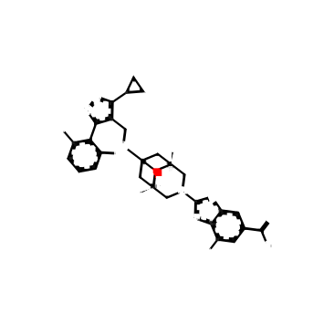 O=C(O)c1cc(F)c2nc(N3C[C@H]4CCC[C@@H](C3)C43CC(OCc4c(-c5c(Cl)cccc5Cl)noc4C4CC4)C3)sc2c1